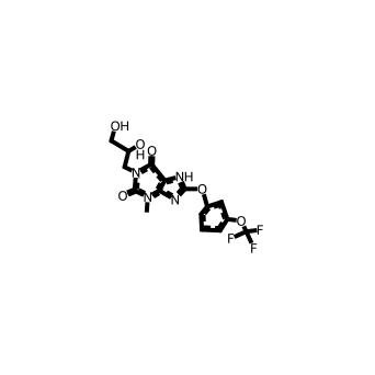 Cn1c(=O)n(CC(O)CO)c(=O)c2[nH]c(Oc3cccc(OC(F)(F)F)c3)nc21